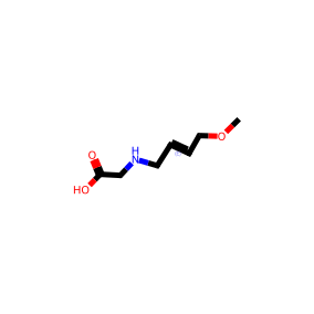 COC/C=C/CNCC(=O)O